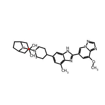 COc1cc(-c2nc3c(C)cc(C4CCN(C5CC6CCC(C5)N6C(C)C)CC4)cc3[nH]2)cn2ncnc12